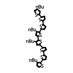 CCCCc1csc(-c2ccc(-c3ccc(-c4sc(-c5sc(-c6ccc(-c7ccc(-c8sccc8CCCC)s7)s6)cc5CCCC)cc4CCCC)s3)s2)c1